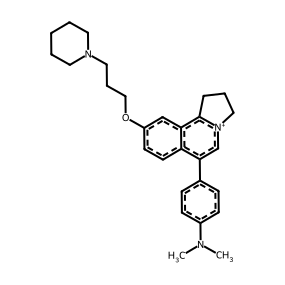 CN(C)c1ccc(-c2c[n+]3c(c4cc(OCCCN5CCCCC5)ccc24)CCC3)cc1